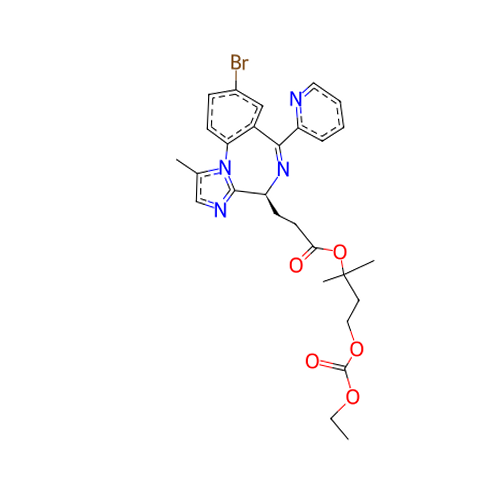 CCOC(=O)OCCC(C)(C)OC(=O)CC[C@@H]1N=C(c2ccccn2)c2cc(Br)ccc2-n2c(C)cnc21